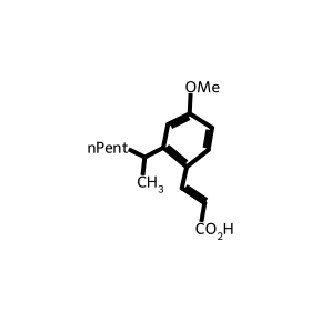 CCCCCC(C)c1cc(OC)ccc1C=CC(=O)O